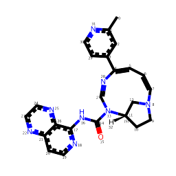 Cc1cc(C2=CC=CN3CC[C@@H](C3)N(C(=O)Nc3nccc4nccnc34)C=N2)ccn1